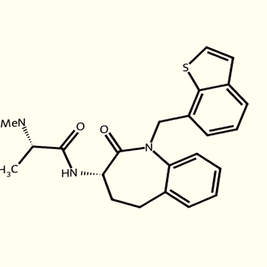 CN[C@@H](C)C(=O)N[C@H]1CCc2ccccc2N(Cc2cccc3ccsc23)C1=O